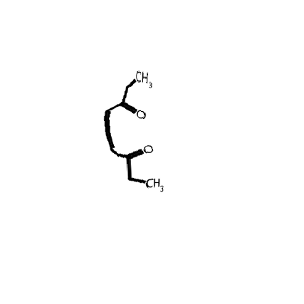 CCC(=O)C=C=CC(=O)CC